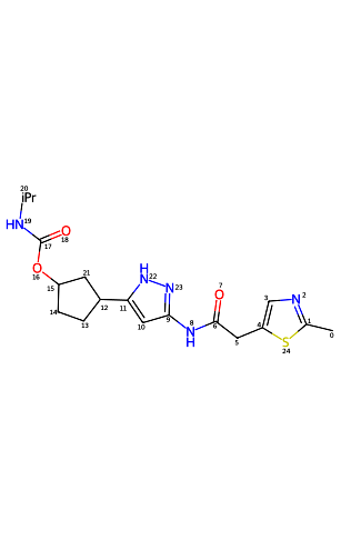 Cc1ncc(CC(=O)Nc2cc(C3CCC(OC(=O)NC(C)C)C3)[nH]n2)s1